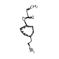 C=CC(=O)Oc1ccc(CCN)cc1